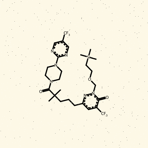 CC(C)(CCCc1cc(C(F)(F)F)c(=O)n(COCC[Si](C)(C)C)n1)C(=O)N1CCN(c2ncc(C(F)(F)F)cn2)CC1